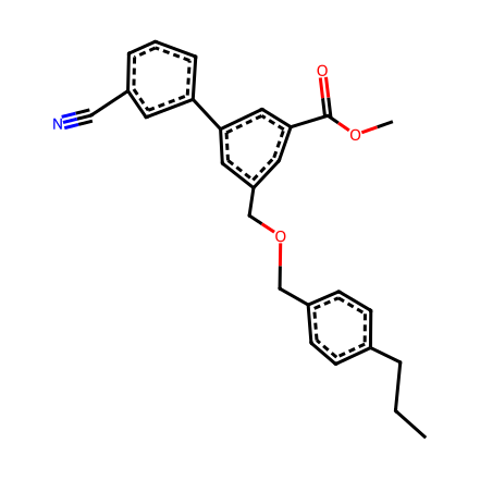 CCCc1ccc(COCc2cc(C(=O)OC)cc(-c3cccc(C#N)c3)c2)cc1